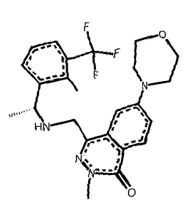 Cc1c([C@@H](C)NCc2nn(C)c(=O)c3ccc(N4CCOCC4)cc23)cccc1C(F)(F)F